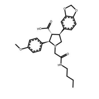 CCCCNC(=O)CN1C[C@H](c2ccc3c(c2)OCO3)[C@@H](C(=O)O)[C@@H]1c1ccc(OC)cc1